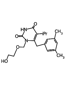 Cc1cc(C)cc(Cc2c(C(C)C)c(=O)[nH]c(=O)n2COCCO)c1